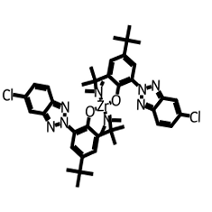 C[N](C)[Zr]([O]c1c(-n2nc3ccc(Cl)cc3n2)cc(C(C)(C)C)cc1C(C)(C)C)([O]c1c(-n2nc3ccc(Cl)cc3n2)cc(C(C)(C)C)cc1C(C)(C)C)[N](C)C